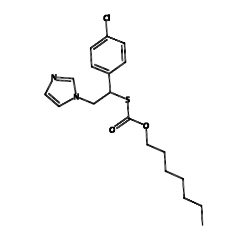 CCCCCCCOC(=O)SC(Cn1ccnc1)c1ccc(Cl)cc1